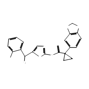 NC(c1cnc(NC(=O)C2(c3ccc4c(c3)OCO4)CC2)s1)c1ccccc1Cl